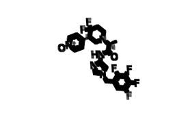 C[C@@H](C(=O)Nc1cn(Cc2cc(F)c(F)c(F)c2F)cn1)N1CCC(F)(F)[C@@H](c2cc[n+]([O-])cc2)C1